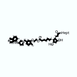 CCCCCCCC(=O)CC[C@@H]1[C@@H](CC=CCCCC(=O)OCCOc2cc(CN3CC[C@@H](Nc4cccc5cnccc45)C3)ccc2C)[C@H](O)C[C@H]1O